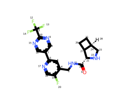 O=C(NCc1cc(-c2cnc(C(F)(F)F)nc2)ncc1F)[C@H]1NC[C@@H]2CCC21